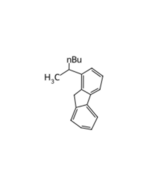 CCCCC(C)c1cccc2c1Cc1ccccc1-2